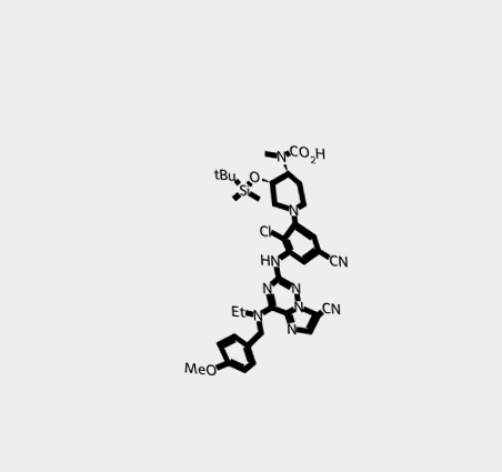 CCN(Cc1ccc(OC)cc1)c1nc(Nc2cc(C#N)cc(N3CC[C@@H](N(C)C(=O)O)[C@@H](O[Si](C)(C)C(C)(C)C)C3)c2Cl)nn2c(C#N)cnc12